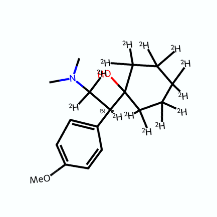 [2H]C1([2H])C([2H])([2H])C([2H])([2H])C(O)([C@@]([2H])(c2ccc(OC)cc2)C([2H])([2H])N(C)C)C([2H])([2H])C1([2H])[2H]